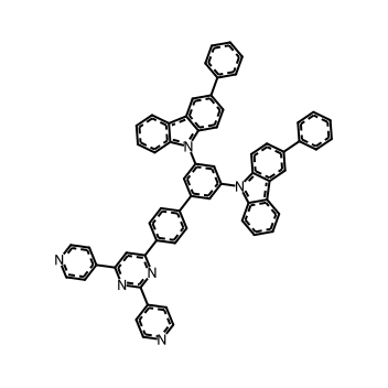 c1ccc(-c2ccc3c(c2)c2ccccc2n3-c2cc(-c3ccc(-c4cc(-c5ccncc5)nc(-c5ccncc5)n4)cc3)cc(-n3c4ccccc4c4cc(-c5ccccc5)ccc43)c2)cc1